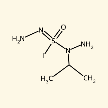 CC(C)N(N)S(=O)(I)=NN